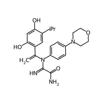 C=C(c1cc(C(C)C)c(O)cc1O)N(C(=N)C(N)=O)c1ccc(N2CCOCC2)cc1